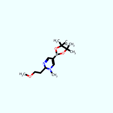 COCCC1N=CC(B2OC(C)(C)C(C)(C)O2)=CN1C